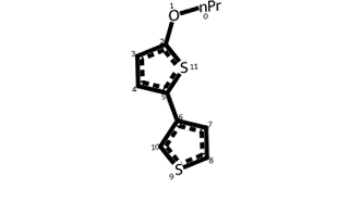 CCCOc1ccc(-c2ccsc2)s1